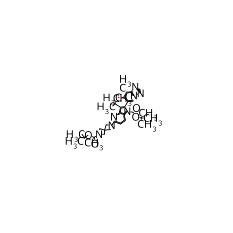 Cc1c(-c2c(C(C)C)c3nc(N4CC5(CN(C(=O)OC(C)(C)C)C5)C4)ccc3n2C(=O)OC(C)(C)C)cn2ncnc2c1C